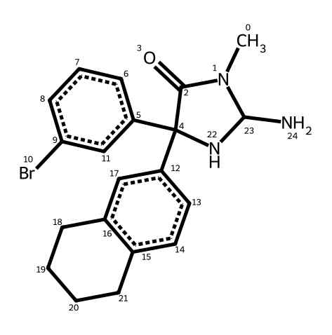 CN1C(=O)C(c2cccc(Br)c2)(c2ccc3c(c2)CCCC3)NC1N